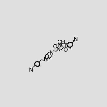 CN(C)C(=O)N(CCOc1ccc(C#N)cc1)CCN1CC2CN(CCc3ccc(C#N)cc3)CC(C1)O2